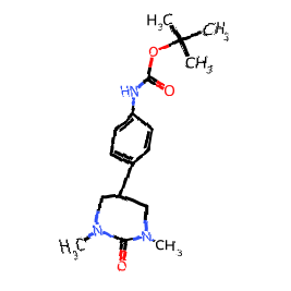 CN1CC(c2ccc(NC(=O)OC(C)(C)C)cc2)CN(C)C1=O